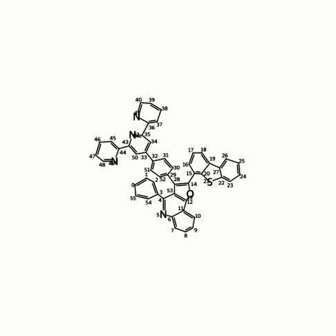 c1ccc(-c2nc3ccccc3c3oc(-c4cccc5c4sc4ccccc45)c(-c4ccc(-c5cc(-c6ccccn6)nc(-c6ccccn6)c5)cc4)c23)cc1